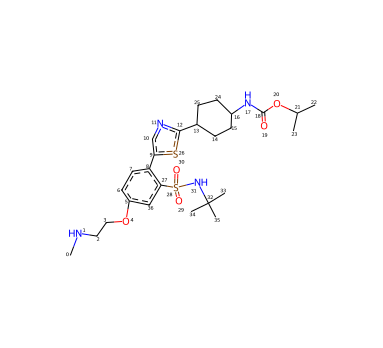 CNCCOc1ccc(-c2cnc(C3CCC(NC(=O)OC(C)C)CC3)s2)c(S(=O)(=O)NC(C)(C)C)c1